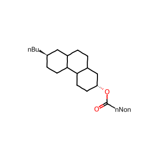 CCCCCCCCCC(=O)O[C@@H]1CCC2C(CCC3C[C@H](CCCC)CCC32)C1